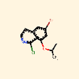 CC(Oc1cc(Br)cc2ccnc(Cl)c12)C(F)(F)F